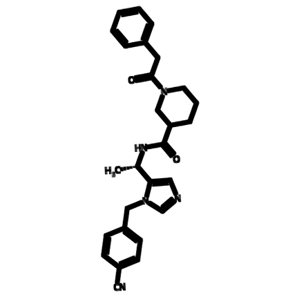 C[C@H](NC(=O)C1CCCN(C(=O)Cc2ccccc2)C1)c1cncn1Cc1ccc(C#N)cc1